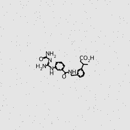 CC(CC(=O)O)c1cccc(CNC(=O)c2cccc(NC(N)=NC(N)=O)c2)c1